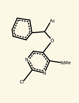 CNc1nc(Cl)ncc1OC(C(C)=O)c1ccccc1